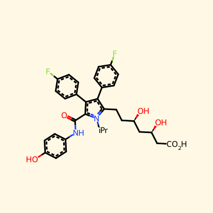 CC(C)n1c(CC[C@@H](O)C[C@@H](O)CC(=O)O)c(-c2ccc(F)cc2)c(-c2ccc(F)cc2)c1C(=O)Nc1ccc(O)cc1